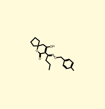 CCCC(=NOCc1ccc(C)cc1)C1=C(O)CC2(CCCC2)OC1=O